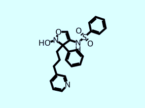 O=S(=O)(NC1=CON(O)C1(CCCc1cccnc1)c1ccccc1)c1ccccc1